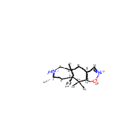 C[C@H]1C[C@@H]2C(C)(CN1)Cc1cnoc1C2(C)C